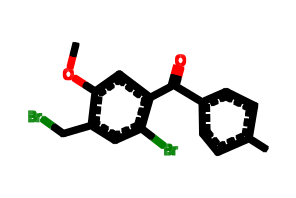 COc1cc(C(=O)c2ccc(C)cc2)c(Br)cc1CBr